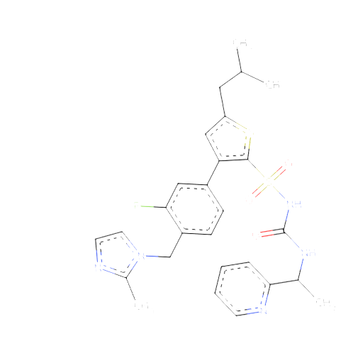 Cc1nccn1Cc1ccc(-c2cc(CC(C)C)sc2S(=O)(=O)NC(=O)NC(C)c2ccccn2)cc1F